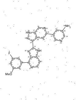 COc1cc(F)cc(-c2nccc3[nH]c(-c4n[nH]c5cnc(-c6cncc(N)c6)cc45)nc23)c1